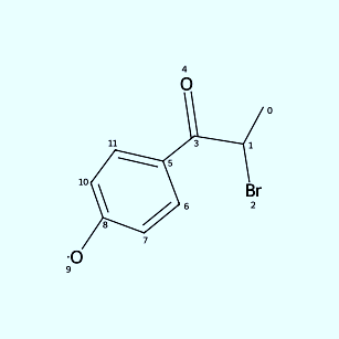 CC(Br)C(=O)c1ccc([O])cc1